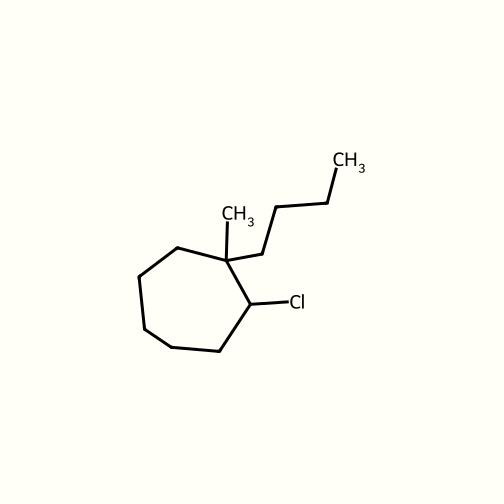 CCCCC1(C)CCCCCC1Cl